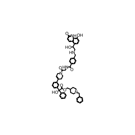 O=C(NCC(=O)N1CC=C(c2cccc(C(O)(C(=O)OCC3CCN(Cc4ccccc4)CC3)c3ccccc3)c2)CC1)c1ccc(CNCC(O)c2ccc(O)c3[nH]c(=O)ccc23)cc1